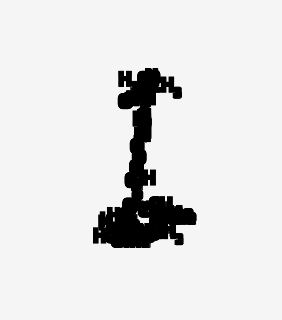 CO[C@H]1C[C@@H](C)C/C(C)=C/[C@@H](CCCSCCC(=O)NCCOCCOCCOCCn2cc(COc3ccc(CCc4nc5cc(-c6c(C)noc6C)ccc5n4CCN4CCOCC4)cc3F)nn2)C(=O)C[C@H](O)[C@@H](C)[C@@H](/C(C)=C/[C@@H]2CC[C@@H](O)[C@H](OC)C2)OC(=O)[C@@H]2CCCCN2C(=O)C(=O)[C@]2(O)O[C@H]1[C@@H](OC)C[C@H]2C